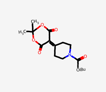 CC(C)COC(=O)N1CCC(=C2C(=O)OC(C)(C)OC2=O)CC1